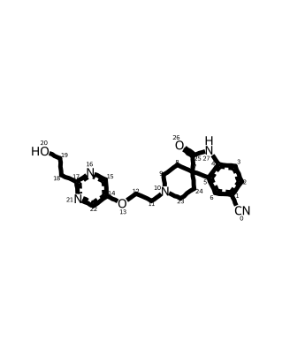 N#Cc1ccc2c(c1)C1(CCN(CCOc3cnc(CCO)nc3)CC1)C(=O)N2